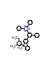 CCC1CC(C2(C)c3ccccc3-c3cc(-c4cc(-c5ccccc5)cc(-c5nc(-c6ccccc6)nc(-c6ccccc6)n5)c4)ccc32)=CC(C)C1